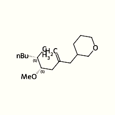 C=C(CC1CCCOC1)C[C@H](OC)[C@@H](C)CCCC